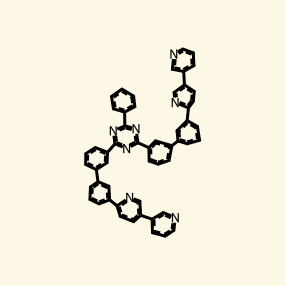 c1ccc(-c2nc(-c3cccc(-c4cccc(-c5ccc(-c6cccnc6)cn5)c4)c3)nc(-c3cccc(-c4cccc(-c5ccc(-c6cccnc6)cn5)c4)c3)n2)cc1